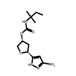 CCC(C)(C)NC(=O)O[C@@H]1CO[C@H](c2cc(N)n[nH]2)C1